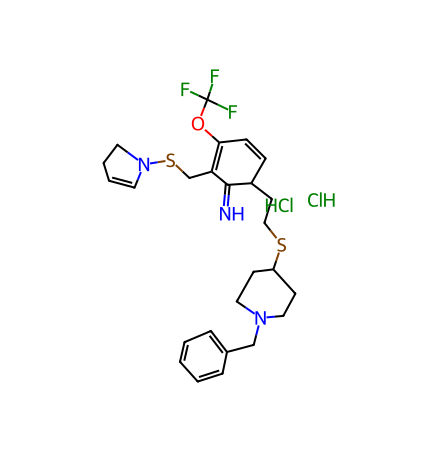 Cl.Cl.N=C1C(CSN2C=CCC2)=C(OC(F)(F)F)C=CC1CCSC1CCN(Cc2ccccc2)CC1